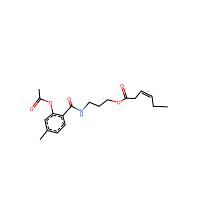 CC/C=C\CC(=O)OCCCNC(=O)c1ccc(C)cc1OC(C)=O